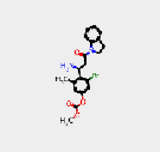 COC(=O)Oc1cc(C)c(C(N)CC(=O)N2CCc3ccccc32)c(Br)c1